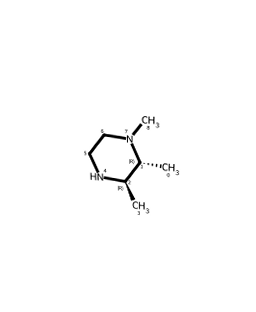 C[C@@H]1[C@@H](C)NCCN1C